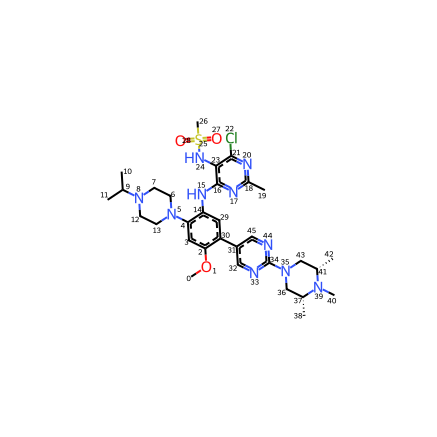 COc1cc(N2CCN(C(C)C)CC2)c(Nc2nc(C)nc(Cl)c2NS(C)(=O)=O)cc1-c1cnc(N2C[C@@H](C)N(C)[C@@H](C)C2)nc1